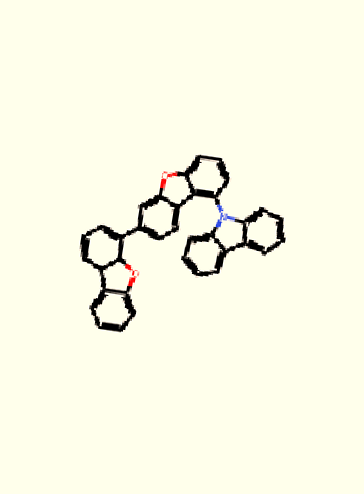 C1=CC2c3ccccc3OC2C(c2ccc3c(c2)oc2cccc(-n4c5ccccc5c5ccccc54)c23)=C1